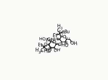 CCCCC(C)(CC)C1OC(CO)[C@@H](O)C(O[C@@H]2OC(C(=O)O)[C@@H](O[C@](C)(CC)CCC)C(O)C2O)C1NC(C)=O